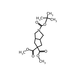 COC(=O)C1(C(=O)OC)CC2CN(C(=O)OC(C)(C)C)CC2C1